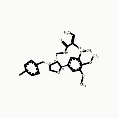 C/C=C(/C)C(=O)NC[C@H]1[C@@H](Cc2ccc(I)cc2)CO[C@@H]1c1cc(OC)c(OC)c(OC)c1